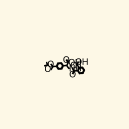 CC1(C)OCC(c2ccc(C(CNC(=O)c3ccccc3C(=O)O)C(=O)O)cc2)O1